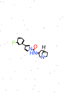 O=C(N[C@@H]1C[C@H]2CCN(C2)C1)n1ccc(-c2cccc(F)c2)c1